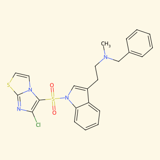 CN(CCc1cn(S(=O)(=O)c2c(Cl)nc3sccn23)c2ccccc12)Cc1ccccc1